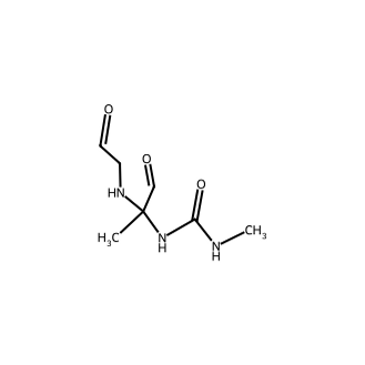 CNC(=O)NC(C)(C=O)NCC=O